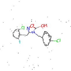 OC1ON=C(Cc2c(F)cccc2Cl)N1Cc1ccc(Cl)cc1